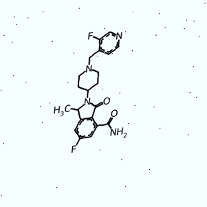 CC1c2cc(F)cc(C(N)=O)c2C(=O)N1C1CCN(Cc2ccncc2F)CC1